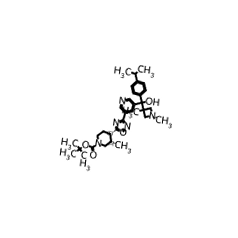 CC(C)c1ccc(C(O)(c2cncc(-c3noc([C@H]4CCN(C(=O)OC(C)(C)C)C[C@H]4C)n3)c2)C2(C)CN(C)C2)cc1